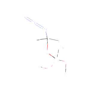 CCC[Si](OCC)(OCC)OC(C)(CC)N=[N+]=[N-]